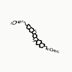 CCCCCCCCCCCCc1ccc2cc3sc4cc5c(cc4c3cc2c1)sc1cc2ccc(CCCCCCCCCCCC)cc2cc15